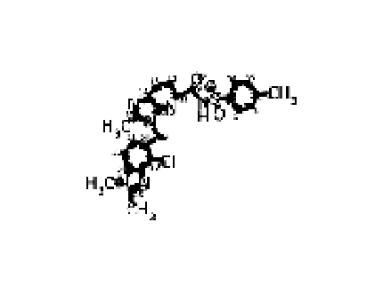 Cc1ccc(S(=O)(=O)NC(=O)c2ccc3nc(C)n(Cc4ccc5c(nc(C)n5C)c4Cl)c3n2)cc1